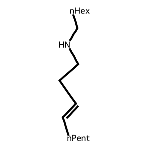 CCCCCC=CCCNCCCCCCC